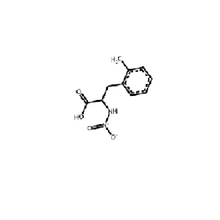 Cc1ccccc1CC(N[N+](=O)[O-])C(=O)O